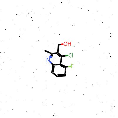 Cc1nc2cccc(F)c2c(Cl)c1CO